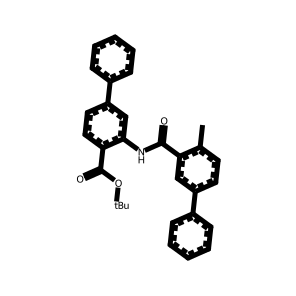 Cc1ccc(-c2ccccc2)cc1C(=O)Nc1cc(-c2ccccc2)ccc1C(=O)OC(C)(C)C